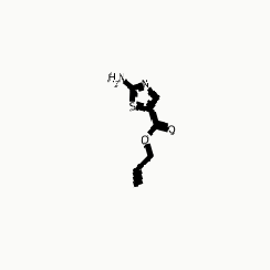 C=CCOC(=O)c1cnc(N)s1